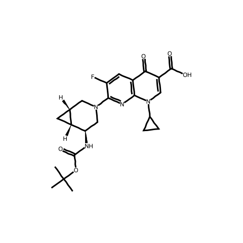 CC(C)(C)OC(=O)N[C@@H]1CN(c2nc3c(cc2F)c(=O)c(C(=O)O)cn3C2CC2)C[C@H]2C[C@H]21